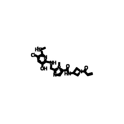 C=CC(=O)N1CC(NC(=O)c2cnc(CNc3nc([SiH](C)C)c(Cl)cc3O)n2C)C1